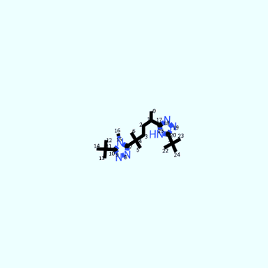 CC(CCC(C)(C)c1nnc(C(C)(C)C)n1C)c1nnc(C(C)(C)C)[nH]1